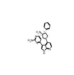 Nc1nccc(-c2c[nH]c3nccc(N4C[C@@H](N)[C@H](c5ccccc5)C4)c23)n1